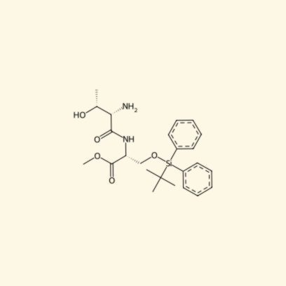 COC(=O)[C@@H](CO[Si](c1ccccc1)(c1ccccc1)C(C)(C)C)NC(=O)[C@@H](N)[C@@H](C)O